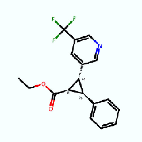 CCOC(=O)[C@@H]1[C@H](c2ccccc2)[C@H]1c1cncc(C(F)(F)F)c1